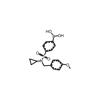 COc1ccc(CN(C2CC2)S(=O)(=O)c2ccc(B(O)O)cc2)cc1